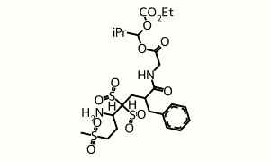 CCOC(=O)OC(OC(=O)CNC(=O)C(Cc1ccccc1)CC(C(N)CCS(C)(=O)=O)([SH](=O)=O)[SH](=O)=O)C(C)C